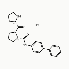 Cl.O=C(Nc1ccc(-c2ccccc2)cc1)[C@@H]1CCCN1C(=O)[C@@H]1CCCN1